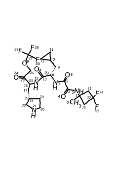 CC1(NC(=O)C(=O)N[C@@H](CC2CC2)C(=O)N[C@@H](C[C@@H]2CCNC2)C(=O)COC(F)(F)F)CC(F)(F)C1